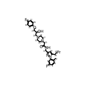 Cc1ccc(F)cc1-n1nc(CNC(=O)CN2CCN(CC(O)COc3ccc(F)cc3)CC2)cc1CC(C)C